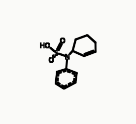 O=S(=O)(O)N(c1ccccc1)C1C=CCCC1